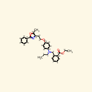 CCCN(Cc1ccccc1C(=O)OCC)c1ccc(OCCc2nc(-c3ccccc3)oc2C)cc1